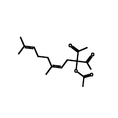 CC(=O)OC(C/C=C(/C)CCC=C(C)C)(C(C)=O)C(C)=O